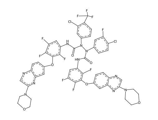 O=C(Nc1cc(F)c(F)c(Oc2ccc3ncc(N4CCOCC4)nc3c2)c1F)N(c1ccc(Cl)c(F)c1)N(C(=O)Nc1cc(F)c(F)c(Oc2ccc3ncc(N4CCOCC4)nc3c2)c1F)c1ccc(C(F)(F)F)c(Cl)c1